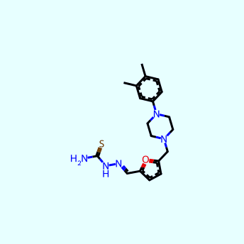 Cc1ccc(N2CCN(Cc3ccc(C=NNC(N)=S)o3)CC2)cc1C